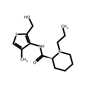 CCCN1CCCC[C@H]1C(=O)Nc1c(C)csc1CO